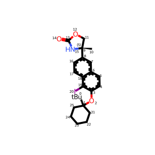 CC(C)(C)C1(Oc2ccc3cc([C@@]4(C)COC(=O)N4)ccc3c2I)CCCCC1